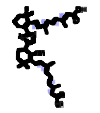 CC(/C=C/C1=C(c2ncc(C3CCC(C)(C)C(/C=C/C(C)=C/C=C/C(C)=C/C(=O)O)=C3O)[nH]2)CCCC1(C)C)=C\C=C\C(C)=C\C(=O)O